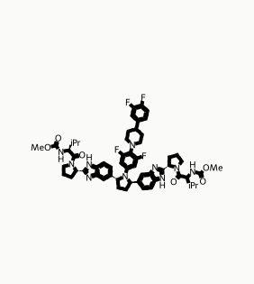 COC(=O)NC(C(=O)N1CCC[C@H]1c1nc2cc([C@H]3CC[C@H](c4ccc5[nH]c([C@@H]6CCCN6C(=O)[C@@H](NC(=O)OC)C(C)C)nc5c4)N3c3cc(F)c(N4CCC(c5ccc(F)c(F)c5)CC4)c(F)c3)ccc2[nH]1)C(C)C